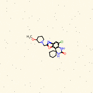 COC1CCCN(Cc2nc3cc(Cl)c4c(c3o2)C2(CCCCC2)NC(=O)N4)C1